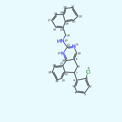 Clc1ccccc1C1Cc2cnc(NCc3cccc4ccccc34)nc2-c2ccccc21